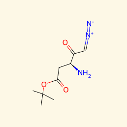 CC(C)(C)OC(=O)C[C@H](N)C(=O)C=[N+]=[N-]